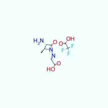 C[C@H]1[C@H](N)C(=O)N1N=CC(=O)O.O=C(O)C(F)(F)F